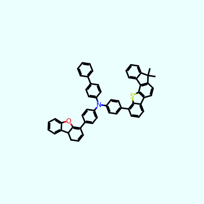 CC1(C)c2ccccc2-c2c1ccc1c2sc2c(-c3ccc(N(c4ccc(C5=C6Oc7ccccc7C6CC=C5)cc4)c4ccc(-c5ccccc5)cc4)cc3)cccc21